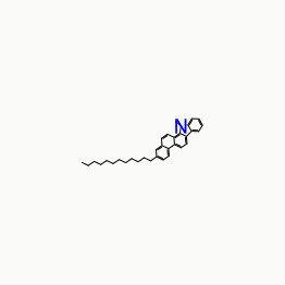 CCCCCCCCCCCCc1ccc2c(ccc3c2ccc2c4ccccc4n(C)c32)c1